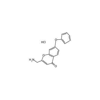 Cl.NCc1cc(=O)c2ccc(Oc3ccccc3)cc2o1